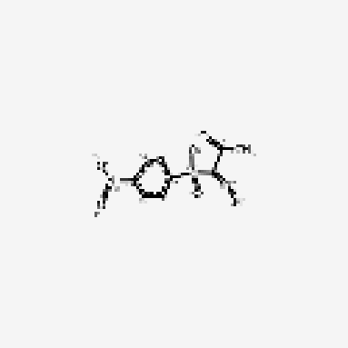 CC(=O)C(=[N+]=[N-])S(=O)(=O)c1ccc([N+](=O)[O-])cc1